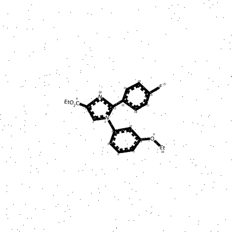 CCOC(=O)c1cn(-c2cccc(OCC)c2)c(-c2ccc(F)cc2)n1